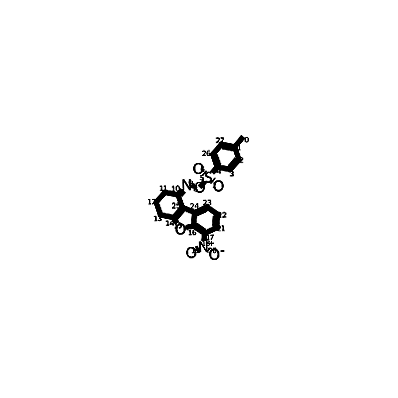 Cc1ccc(S(=O)(=O)O/N=C2/CCCc3oc4c([N+](=O)[O-])cccc4c32)cc1